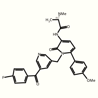 CN[C@@H](C)C(=O)Nc1ccc(-c2ccc(OC)cc2)n(Cc2cncc(C(=O)c3ccc(F)cc3)c2)c1=O